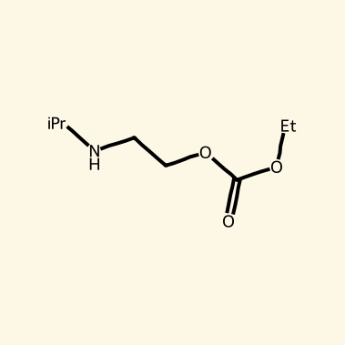 CCOC(=O)OCCNC(C)C